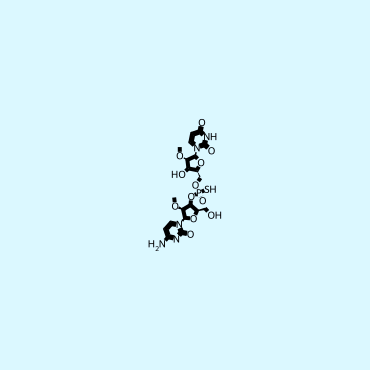 CO[C@H]1C(O)[C@@H](COP(=O)(S)OC2[C@@H](CO)O[C@@H](n3ccc(N)nc3=O)[C@H]2OC)O[C@H]1n1ccc(=O)[nH]c1=O